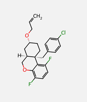 C=CCO[C@@H]1CC[C@@]2(Cc3ccc(Cl)cc3)c3c(F)ccc(F)c3OC[C@H]2C1